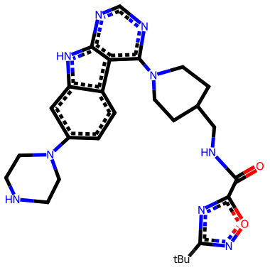 CC(C)(C)c1noc(C(=O)NCC2CCN(c3ncnc4[nH]c5cc(N6CCNCC6)ccc5c34)CC2)n1